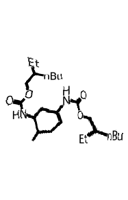 CCCCC(CC)COC(=O)NC1CCC(C)C(NC(=O)OCC(CC)CCCC)C1